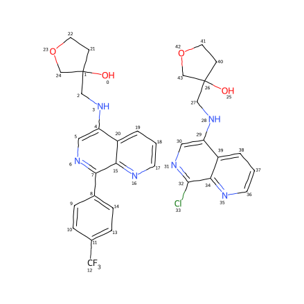 OC1(CNc2cnc(-c3ccc(C(F)(F)F)cc3)c3ncccc23)CCOC1.OC1(CNc2cnc(Cl)c3ncccc23)CCOC1